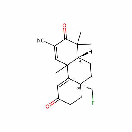 CC1(C)C(=O)C(C#N)=CC2(C)C3=CC(=O)CC[C@]3(CF)CC[C@@H]12